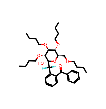 CCCCOC[C@H]1O[C@@](O)(C(F)(F)c2ccccc2C(=O)c2ccccc2)[C@H](OCCCC)[C@@H](OCCCC)[C@@H]1OCCCC